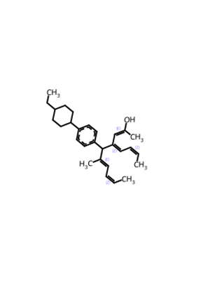 C\C=C/C=C(\C=C(/C)O)C(/C(C)=C/C=C\C)c1ccc(C2CCC(CC)CC2)cc1